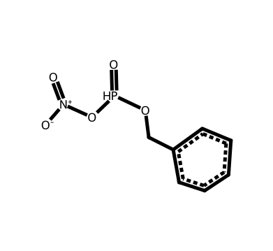 O=[N+]([O-])O[PH](=O)OCc1ccccc1